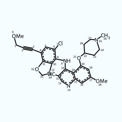 COCC#Cc1cc(Cl)c(Nc2c(C#N)cnc3cc(OC)cc(OC4CCN(C)CC4)c23)c2c1OCO2